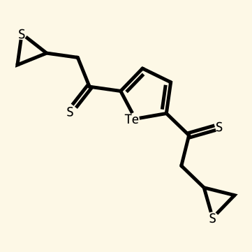 S=C(CC1CS1)c1ccc(C(=S)CC2CS2)[te]1